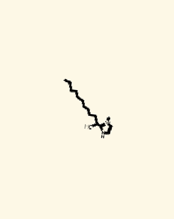 CCCCCCCCCCC(O)c1[nH]cc[n+]1C